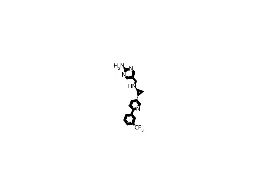 Nc1ncc(CN[C@H]2C[C@@H]2c2ccc(-c3cccc(C(F)(F)F)c3)nc2)cn1